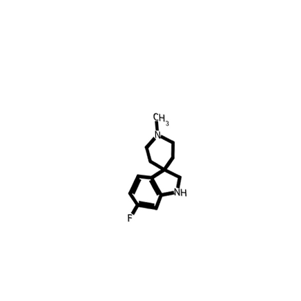 CN1CCC2(CC1)CNc1cc(F)ccc12